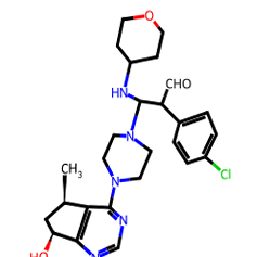 C[C@@H]1C[C@H](O)c2ncnc(N3CCN(C(NC4CCOCC4)C(C=O)c4ccc(Cl)cc4)CC3)c21